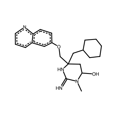 CN1C(=N)NC(COc2ccc3ncccc3c2)(CC2CCCCC2)CC1O